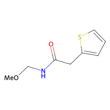 COCNC(=O)Cc1cccs1